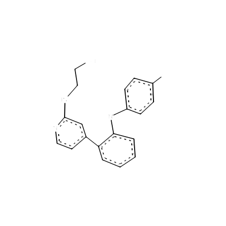 OCCNc1cc(-c2ccccc2Nc2ccc(C(F)(F)F)cc2)ccn1